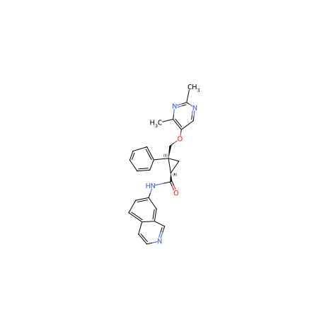 Cc1ncc(OC[C@@]2(c3ccccc3)C[C@H]2C(=O)Nc2ccc3ccncc3c2)c(C)n1